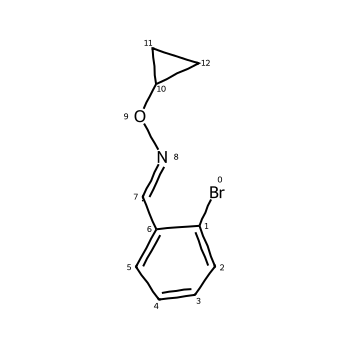 Brc1ccccc1/[C]=N/OC1CC1